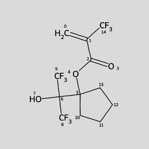 C=C(C(=O)OC1(C(O)(C(F)(F)F)C(F)(F)F)CCCC1)C(F)(F)F